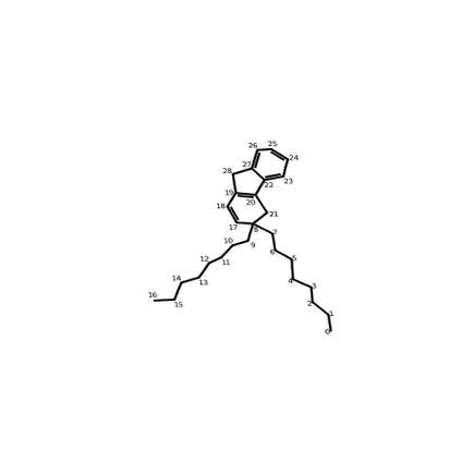 CCCCCCCCC1(CCCCCCCC)C=CC2=C(C1)c1ccccc1C2